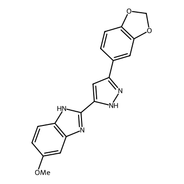 COc1ccc2[nH]c(-c3cc(-c4ccc5c(c4)OCO5)n[nH]3)nc2c1